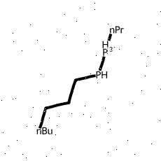 CCCCCCCP[PH3]CCC